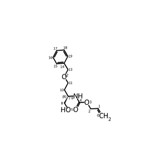 C=CCOC(=O)N[C@@H](CO)CCOCc1ccccc1